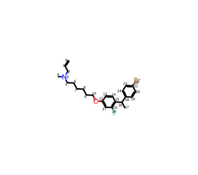 C=CCN(C)CCCCCCOc1ccc(C(C)c2ccc(Br)cc2)c(F)c1